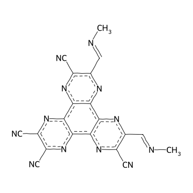 C/N=C/c1nc2c(nc1C#N)c1nc(C#N)c(C#N)nc1c1nc(C#N)c(/C=N/C)nc12